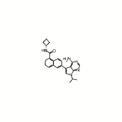 CC(C)n1cc(-c2ccc3c(C(=O)NC4CCC4)cccc3c2)c2c(N)ncnc21